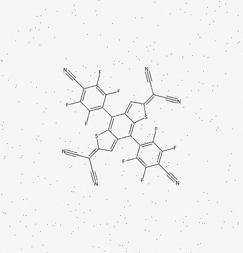 N#CC(C#N)=c1cc2c(-c3c(F)c(F)c(C#N)c(F)c3F)c3sc(=C(C#N)C#N)cc3c(-c3c(F)c(F)c(C#N)c(F)c3F)c2s1